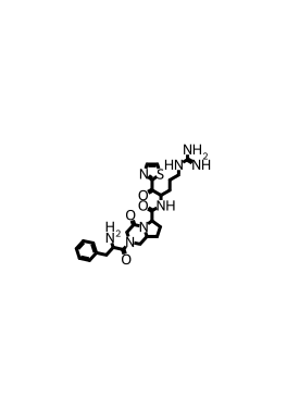 N=C(N)NCCCC(NC(=O)C1CCC2CN(C(=O)C(N)Cc3ccccc3)CC(=O)N21)C(=O)c1nccs1